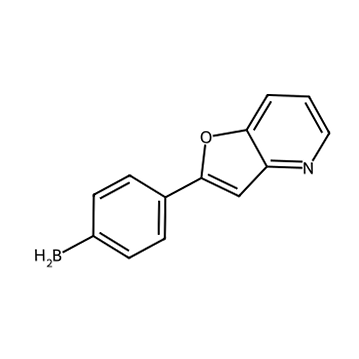 Bc1ccc(-c2cc3ncccc3o2)cc1